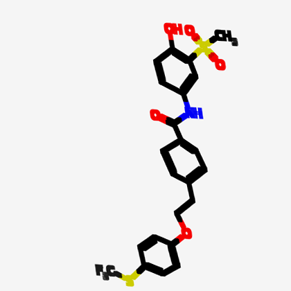 CS(=O)(=O)c1cc(NC(=O)c2ccc(CCOc3ccc(SC(F)(F)F)cc3)cc2)ccc1O